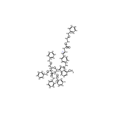 Cc1cccc2c([C@@H]3O[C@H](COCc4ccccc4)[C@@H](OCc4ccccc4)[C@H](OCc4ccccc4)[C@H]3OCc3ccccc3)cn(Cc3ccc(/C=C/CC(=O)OCCOCc4ccccc4)cc3)c12